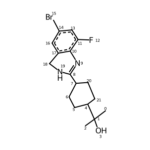 CC(C)(O)C1CCC(C2=Nc3c(F)cc(Br)cc3CN2)CC1